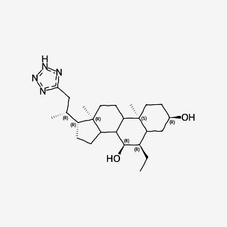 CC[C@@H]1C2C[C@H](O)CC[C@]2(C)C2CC[C@@]3(C)C(CC[C@@H]3[C@H](C)Cc3nn[nH]n3)C2[C@@H]1O